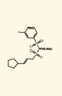 [N-]=[N+]=C(S(=O)(=O)CC=CC1CCCC1)S(=O)(=O)c1cccc(F)c1